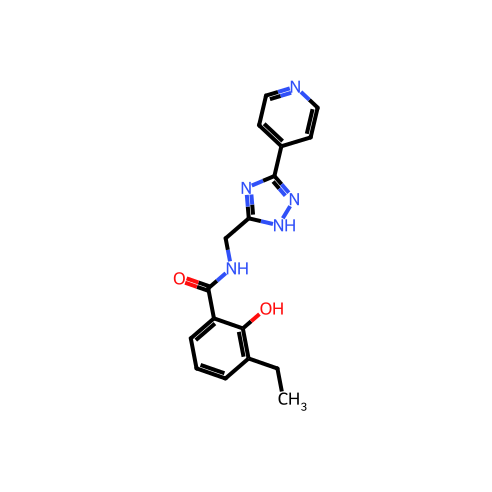 CCc1cccc(C(=O)NCc2nc(-c3ccncc3)n[nH]2)c1O